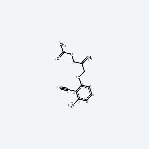 C=C(COC(C)=O)COc1cccc(N)c1C#N